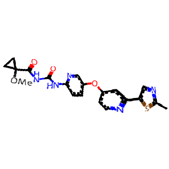 COC1(C(=O)NC(=O)Nc2ccc(Oc3ccnc(-c4cnc(C)s4)c3)cn2)CC1